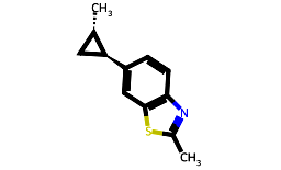 Cc1nc2ccc([C@H]3C[C@@H]3C)cc2s1